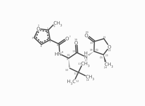 Cc1occc1C(=O)N[C@@H](CC(C)(C)C)C(=O)N[C@@H]1C(=O)CO[C@H]1C